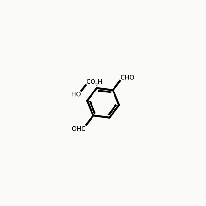 O=C(O)O.O=Cc1ccc(C=O)cc1